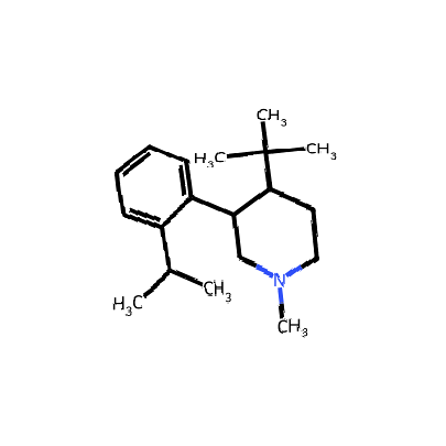 CC(C)c1ccccc1C1CN(C)CCC1C(C)(C)C